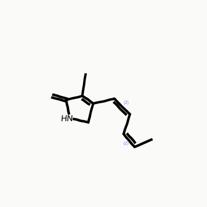 C=C1NCC(/C=C\C=C/C)=C1C